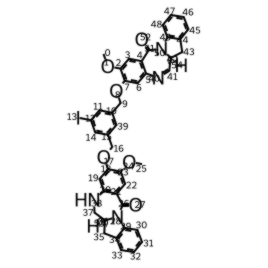 COc1cc2c(cc1OCc1cc(I)cc(COc3cc4c(cc3OC)C(=O)N3c5ccccc5C[C@H]3CN4)c1)N=C[C@@H]1Cc3ccccc3N1C2=O